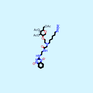 CC(=O)OCC1OCC(OCCN(CCCCCCN=[N+]=[N-])CC(=O)NCCNc2n[n+]([O-])c3ccccc3[n+]2[O-])C(OC(C)=O)[C@@H]1OC(C)=O